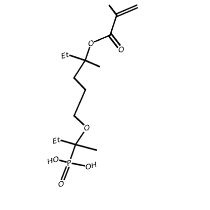 C=C(C)C(=O)OC(C)(CC)CCCOC(C)(CC)P(=O)(O)O